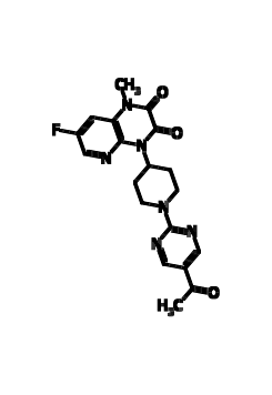 CC(=O)c1cnc(N2CCC(n3c(=O)c(=O)n(C)c4cc(F)cnc43)CC2)nc1